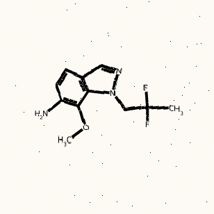 COc1c(N)ccc2cnn(CC(C)(F)F)c12